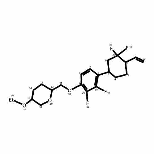 C=CC1CCC(c2ccc(OCC3CCC(OCC)CO3)c(F)c2F)CC1(F)F